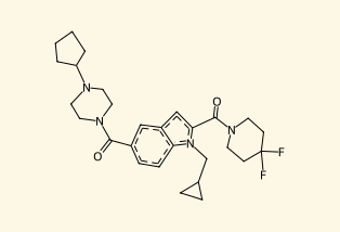 O=C(c1ccc2c(c1)cc(C(=O)N1CCC(F)(F)CC1)n2CC1CC1)N1CCN(C2CCCC2)CC1